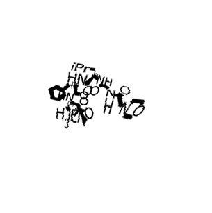 CC(C)C[C@H](NC(=O)CNC(=O)CN1CCOCC1)C(=O)N[C@@H](Cc1ccccc1)C(=O)N[C@@H](CC(C)C)C(=O)[C@@]1(C)CO1